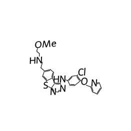 COCCNCCc1ccc2c(c1)sc1ncnc(Nc3ccc(OCc4ccccn4)c(Cl)c3)c12